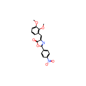 COc1cccc(C=C2N=C(c3ccc([N+](=O)[O-])cc3)OC2=O)c1OC